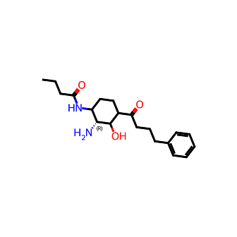 CCCC(=O)NC1CCC(C(=O)CCCc2ccccc2)C(O)[C@@H]1N